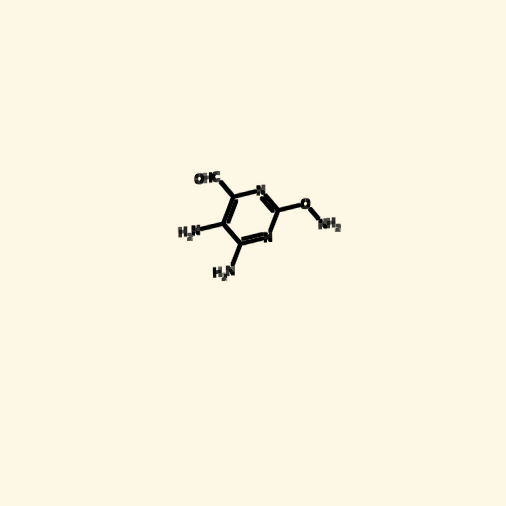 NOc1nc(N)c(N)c(C=O)n1